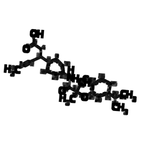 CC#CC(CC(=O)O)c1ccc(NC(=O)C(C)(C)Oc2cc(C(C)C)ccc2C)cc1